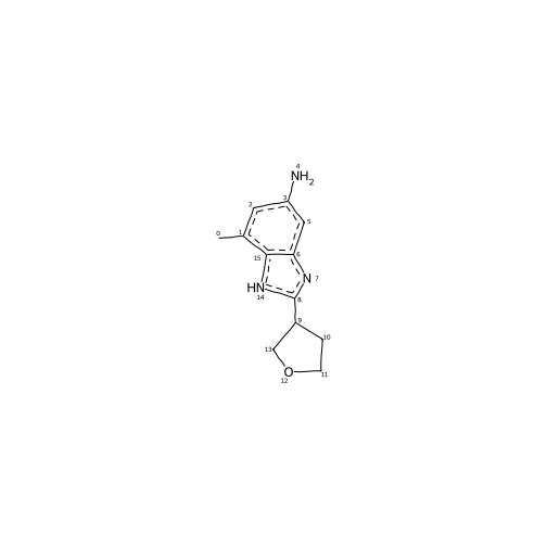 Cc1cc(N)cc2nc(C3CCOC3)[nH]c12